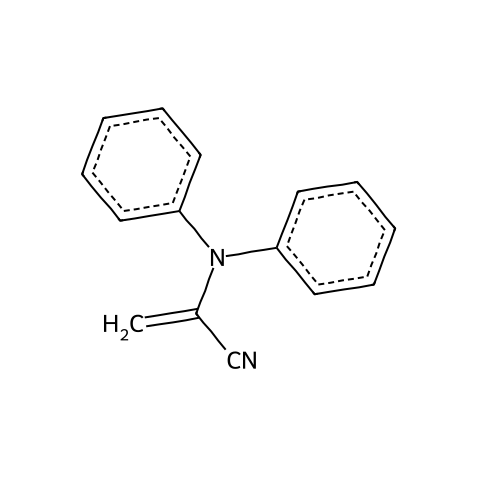 C=C(C#N)N(c1ccccc1)c1ccccc1